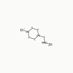 CCNCN1CCN(CC)CC1